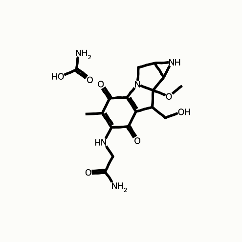 COC12C(CO)C3=C(C(=O)C(C)=C(NCC(N)=O)C3=O)N1CC1NC12.NC(=O)O